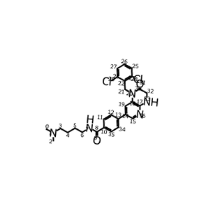 CN(C)CCCCNC(=O)c1ccc(-c2cnc3c(c2)N(Cc2c(Cl)cccc2Cl)C(=O)CN3)cc1